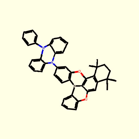 CC1(C)CCC(C)(C)c2c1cc1c3c2Oc2cc(N4c5ccccc5N(c5ccccc5)c5ccccc54)ccc2B3c2ccccc2O1